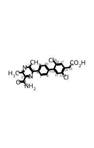 Cc1nc(C)c(-c2ccc(-c3cc(Cl)c(CC(=O)O)cc3Cl)cc2)nc1C(N)=O